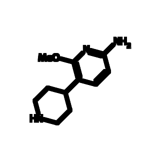 COc1nc(N)ccc1C1CCNCC1